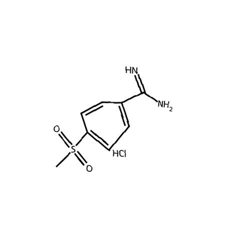 CS(=O)(=O)c1ccc(C(=N)N)cc1.Cl